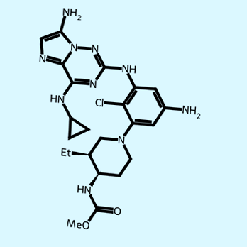 CC[C@H]1CN(c2cc(N)cc(Nc3nc(NC4CC4)c4ncc(N)n4n3)c2Cl)CC[C@H]1NC(=O)OC